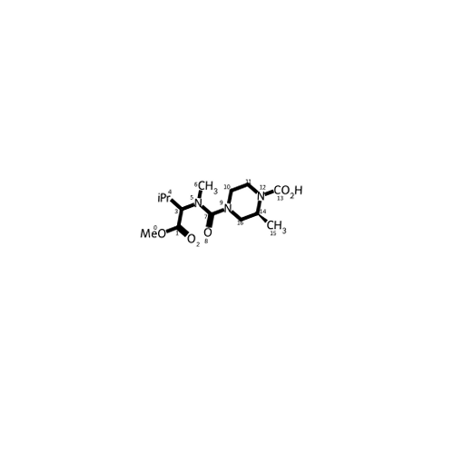 COC(=O)C(C(C)C)N(C)C(=O)N1CCN(C(=O)O)[C@@H](C)C1